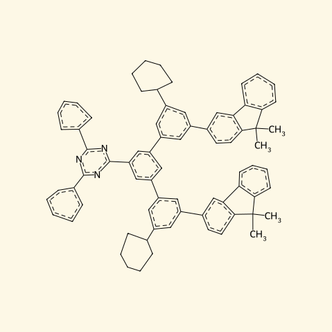 CC1(C)c2ccccc2-c2cc(-c3cc(-c4cc(-c5cc(-c6ccc7c(c6)-c6ccccc6C7(C)C)cc(C6CCCCC6)c5)cc(-c5nc(-c6ccccc6)nc(-c6ccccc6)n5)c4)cc(C4CCCCC4)c3)ccc21